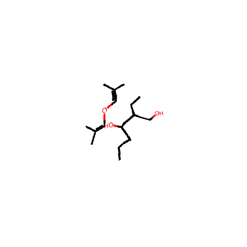 CC(C)=COC=C(C)C.CCCC(O)C(CC)CO